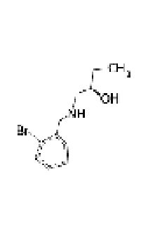 CC[C@@H](O)CNCc1ccccc1Br